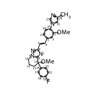 COc1cc(C=Cc2nc3n(n2)CCCC3(OC)c2ccc(F)cc2)ccc1-n1cnc(C)c1